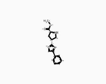 COC(=O)[C@@H]1C[C@@H](c2nc(-c3ccccc3)co2)CN1